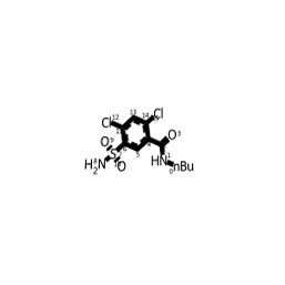 CCCCNC(=O)c1cc(S(N)(=O)=O)c(Cl)cc1Cl